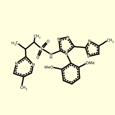 COc1cccc(OC)c1-n1c(NS(=O)(=O)C(C)C(C)c2ncc(C)cn2)nnc1-c1nc(C)cs1